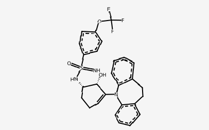 N=S(=O)(N[C@H]1CCC=C(N2c3ccccc3CCc3ccccc32)[C@H]1O)c1ccc(OC(F)(F)F)cc1